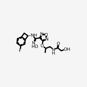 CC(CNC(=O)CO)Oc1nonc1C(=NO)N[C@H]1Cc2ccc(F)cc21